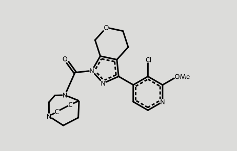 COc1nccc(-c2nn(C(=O)N3CCN4CCC3CC4)c3c2CCOC3)c1Cl